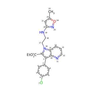 CCOC(=O)c1c(-c2ccc(Cl)cc2)c2ncccc2n1CCNc1cc(C)on1